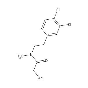 CC(=O)CC(=O)N(C)CCc1ccc(Cl)c(Cl)c1